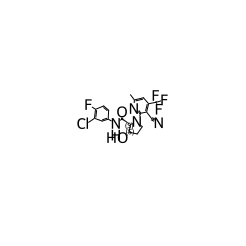 Cc1cc(C(F)(F)F)c(C#N)c(N2CC[C@H](O)[C@H]2C(=O)Nc2ccc(F)c(Cl)c2)n1